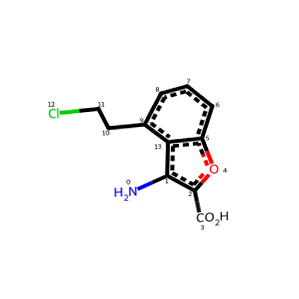 Nc1c(C(=O)O)oc2cccc(CCCl)c12